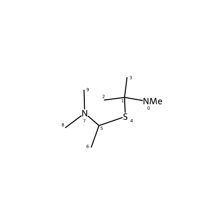 CNC(C)(C)SC(C)N(C)C